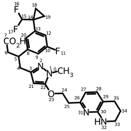 Cn1nc(CC(CC(=O)O)c2cc(F)cc(C3(C(F)F)CC3)c2)cc1OCCc1ccc2c(n1)NCCC2